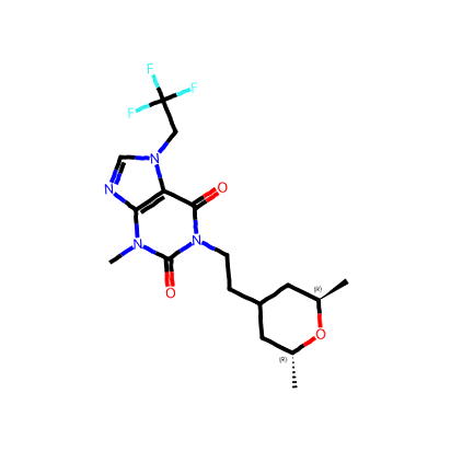 C[C@@H]1CC(CCn2c(=O)c3c(ncn3CC(F)(F)F)n(C)c2=O)C[C@@H](C)O1